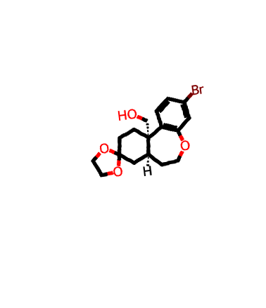 OC[C@@]12CCC3(C[C@@H]1CCOc1cc(Br)ccc12)OCCO3